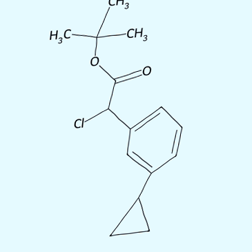 CC(C)(C)OC(=O)C(Cl)c1cccc(C2CC2)c1